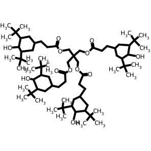 CC(C)(C)C1CC(CCC(=O)OCC(COC(=O)CCC2CC(C(C)(C)C)C(O)C(C(C)(C)C)C2)(COC(=O)CCC2CC(C(C)(C)C)C(O)C(C(C)(C)C)C2)COC(=O)CCC2CC(C(C)(C)C)C(O)C(C(C)(C)C)C2)CC(C(C)(C)C)C1O